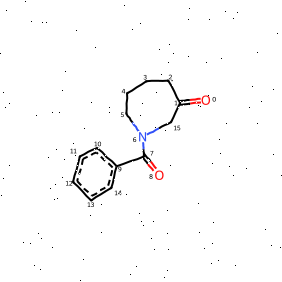 O=C1[CH]CCCN(C(=O)c2ccccc2)C1